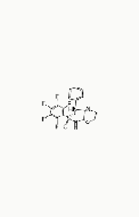 O=S(=O)(Nc1cccnc1Nc1ccccc1)c1c(F)c(F)c(F)c(F)c1F